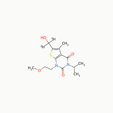 [2H]C([2H])(O)c1sc2c(c1C)c(=O)n(C(C)C)c(=O)n2CCOC